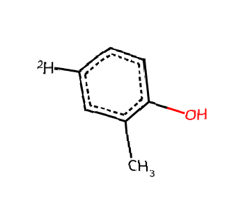 [2H]c1ccc(O)c(C)c1